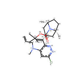 C=CCN(C)c1cc(Cl)nnc1C(=C)[C@@H]1C[C@H]2CC[C@@H](C1)N2C(=O)OC(C)(C)C